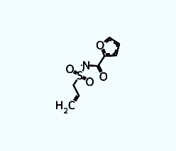 C=CCS(=O)(=O)[N]C(=O)c1ccco1